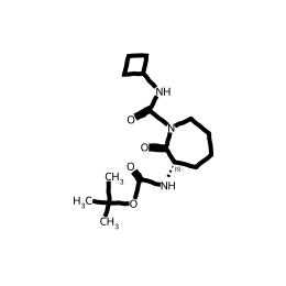 CC(C)(C)OC(=O)N[C@H]1CCCCN(C(=O)NC2CCC2)C1=O